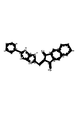 S=C1C(=Cc2nc3sc(-c4ccccc4)nc3s2)C(=S)c2cc3ccccc3cc21